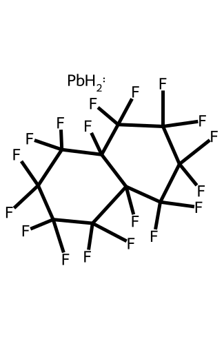 FC1(F)C(F)(F)C(F)(F)C2(F)C(F)(F)C(F)(F)C(F)(F)C(F)(F)C2(F)C1(F)F.[PbH2]